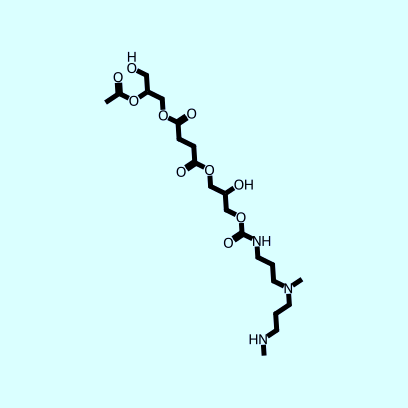 CNCCCN(C)CCCNC(=O)OCC(O)COC(=O)CCC(=O)OCC(CO)OC(C)=O